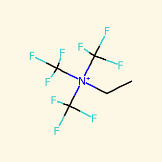 CC[N+](C(F)(F)F)(C(F)(F)F)C(F)(F)F